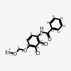 CCOCOc1ccc(NC(=O)c2ccccc2)c(Cl)c1Cl